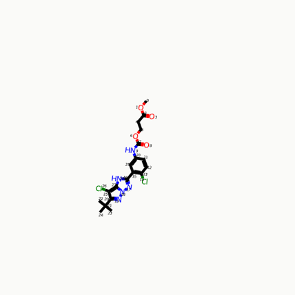 COC(=O)CCOC(=O)Nc1ccc(Cl)c(-c2nn3nc(C(C)(C)C)c(Cl)c3[nH]2)c1